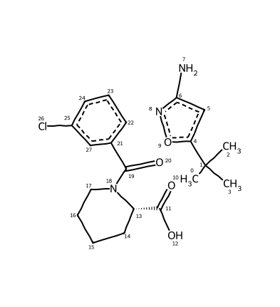 CC(C)(C)c1cc(N)no1.O=C(O)[C@@H]1CCCCN1C(=O)c1cccc(Cl)c1